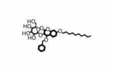 CCCCCCCCCCOc1ccc2c(OCc3ccccc3)c(O[C@@H]3O[C@H](CO)[C@@H](O)[C@H](O)[C@H]3O)c(=O)oc2c1